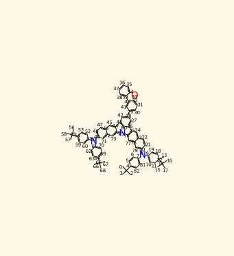 CC(C)(C)c1ccc(N(C2=CCC(C)(C(C)(C)C)C=C2)c2ccc3cc4c5cc(-c6ccc7oc8ccccc8c7c6)cc6c7cc8ccc(N(c9ccc(C(C)(C)C)cc9)c9ccc(C(C)(C)C)cc9)cc8cc7n(c4cc3c2)c56)cc1